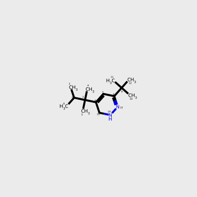 CC(C)C(C)(C)C1=CC(C(C)(C)C)=NNC1